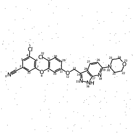 N#Cc1cc(Cl)cc(Oc2cc(OCc3n[nH]c4nc(N5CCOCC5)ccc34)ccc2Cl)c1